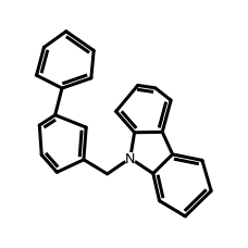 c1ccc(-c2cccc(Cn3c4ccccc4c4ccccc43)c2)cc1